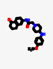 COc1ccc(NC2CCN(CC(=O)Nc3ccc4c(c3)CCCC4=O)CC2)cc1